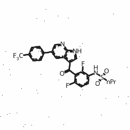 CCCS(=O)(=O)Nc1ccc(F)c(C(=O)c2c[nH]c3ncc(-c4ccc(C(F)(F)F)cc4)cc23)c1F